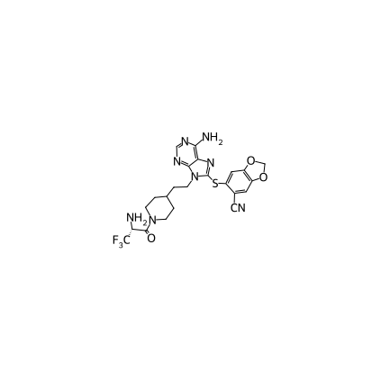 N#Cc1cc2c(cc1Sc1nc3c(N)ncnc3n1CCC1CCN(C(=O)[C@@H](N)C(F)(F)F)CC1)OCO2